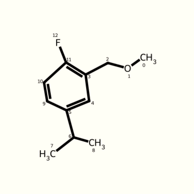 COCc1cc(C(C)C)ccc1F